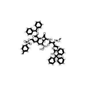 CON=C(C(=O)NC1C(=O)N2C(C(=O)OC(c3ccccc3)c3ccccc3)=C(C=COS(=O)(=O)c3ccc(C)cc3)CC(NS)C12)c1csc(NC(c2ccccc2)(c2ccccc2)c2ccccc2)n1